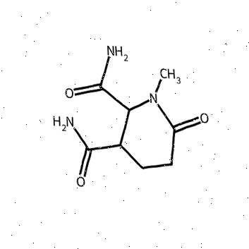 CN1C(=O)CC[C](C(N)=O)C1C(N)=O